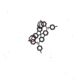 Cc1ccc(N(c2ccc(C)cc2)c2ccc3c(c2)C2(c4cc(N(c5ccc(C)cc5)c5ccc(C)cc5)ccc4-3)c3cc4c(cc3-c3cc5c(cc32)C2CC3CC(CC5C3)C2)C2CC3CC(C2)CC4C3)cc1